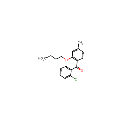 Cc1ccc(C(=O)c2ccccc2Cl)c(OCCCC(=O)O)c1